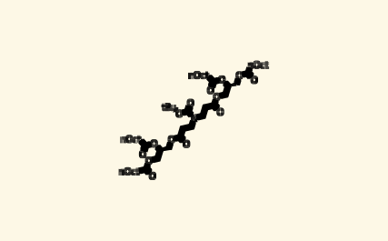 CCCCCCCCC(=O)OC[C@H](COC(=O)CCN(CCC(=O)OC[C@@H](COC(=O)CCCCCCCC)OC(=O)CCCCCCCC)C(=O)OC(C)(C)C)OC(=O)CCCCCCCC